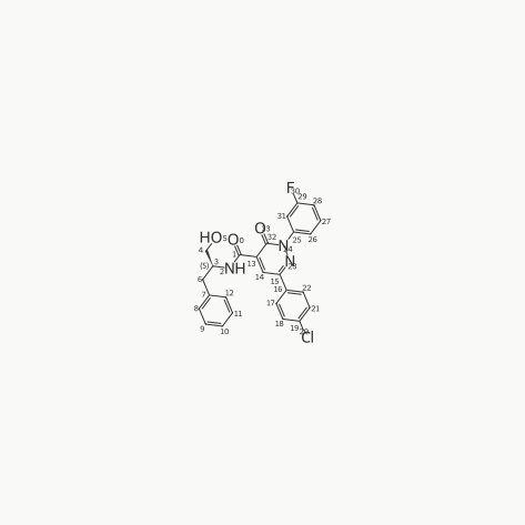 O=C(N[C@H](CO)Cc1ccccc1)c1cc(-c2ccc(Cl)cc2)nn(-c2cccc(F)c2)c1=O